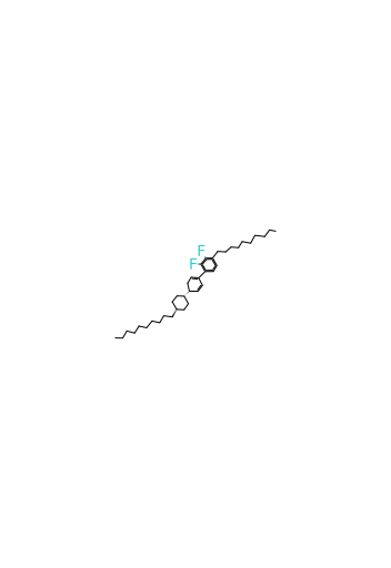 CCCCCCCCCCc1ccc(C2=CCC([C@H]3CC[C@H](CCCCCCCCCC)CC3)C=C2)c(F)c1F